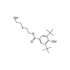 CC(C)(C)c1cc(C(=O)OCCSCCO)cc(C(C)(C)C)c1O